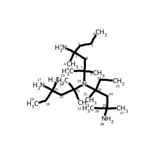 CCCC(C)(N)CC(C)(C)N(C(C)(C)CC(C)(N)CC)C(C)(CC)CC(C)(C)N